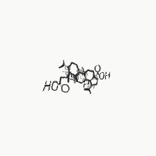 C=C(C)[C@@H]1CC[C@]2(C(=O)O)CC[C@]3(C)[C@H](CC[C@@H]4[C@@](C)(CCC(=O)O)[C@H](C(=C)C)CC[C@]43C)C12